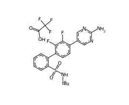 CC(C)(C)NS(=O)(=O)c1ccccc1-c1ccc(-c2cnc(N)nc2)c(F)c1F.O=C(O)C(F)(F)F